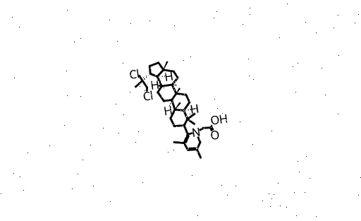 CC1=CC(C)=C(C2CC[C@]3(C)[C@H]4CC[C@@H]5[C@H]6[C@H](C(C)(Cl)CCl)CC[C@]6(C)CC[C@@]5(C)[C@]4(C)CC[C@H]3C2(C)C)N(CC(=O)O)C1